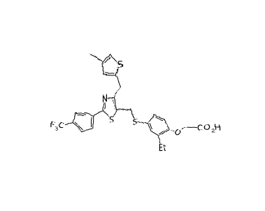 CCc1cc(SCc2sc(-c3ccc(C(F)(F)F)cc3)nc2Cc2cc(C)cs2)ccc1OCC(=O)O